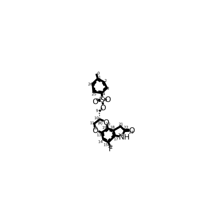 Cc1ccc(S(=O)(=O)OC[C@H]2COc3cc(F)c4c(c3O2)CC(=O)N4)cc1